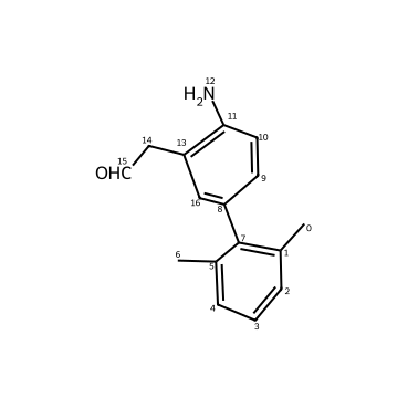 Cc1cccc(C)c1-c1ccc(N)c(CC=O)c1